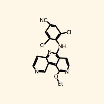 CCOc1nccc2c(Nc3c(Cl)cc(C#N)cc3Cl)nc3ccncc3c12